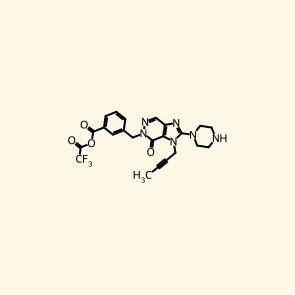 CC#CCn1c(N2CCNCC2)nc2cnn(Cc3cccc(C(=O)OC(=O)C(F)(F)F)c3)c(=O)c21